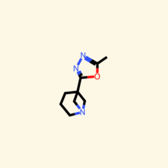 Cc1nnc(C23CCCN(C2)C3)o1